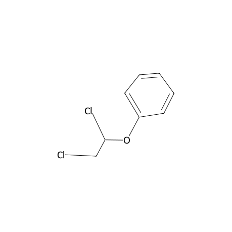 ClCC(Cl)Oc1ccccc1